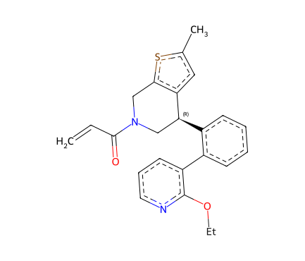 C=CC(=O)N1Cc2sc(C)cc2[C@@H](c2ccccc2-c2cccnc2OCC)C1